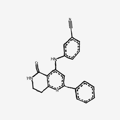 N#Cc1cccc(Nc2cc(-c3ccccc3)nc3c2C(=O)NCC3)c1